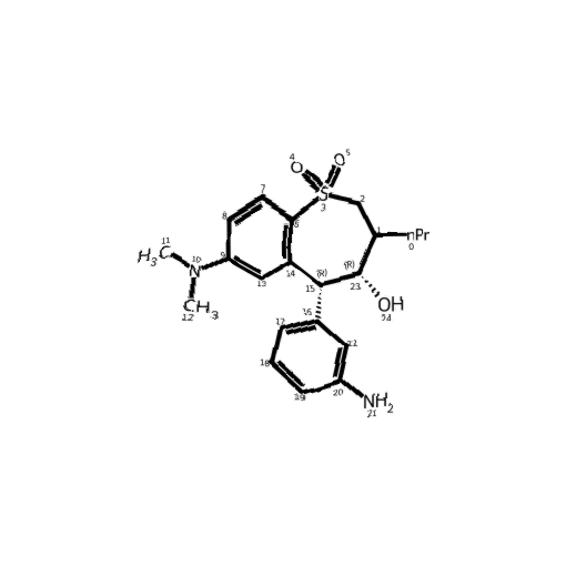 CCCC1CS(=O)(=O)c2ccc(N(C)C)cc2[C@@H](c2cccc(N)c2)[C@H]1O